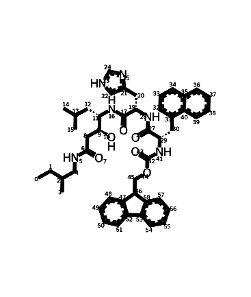 CCC(C)CNC(=O)C[C@H](O)[C@H](CC(C)C)NC(=O)[C@H](Cc1c[nH]cn1)NC(=O)[C@H](Cc1cccc2ccccc12)NC(=O)OCC1c2ccccc2-c2ccccc21